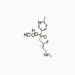 Cc1ccc(S(=O)(=O)C/C(F)=C/CN)cn1.Cl.Cl